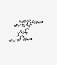 CCCCCOc1cc(C=CC(=O)c2cccc(OCCCCC)c2OCCCCC)c(OCCCCC)c(OC)c1